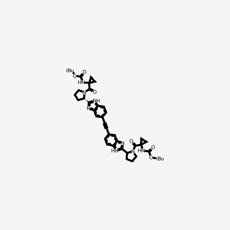 CC(C)(C)OC(=O)NC1(C(=O)N2CCCC2c2nc3cc(C#Cc4ccc5[nH]c([C@@H]6CCCN6C(=O)C6(NC(=O)OC(C)(C)C)CC6)nc5c4)ccc3[nH]2)CC1